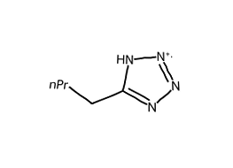 CCCCC1=NN=[N+]N1